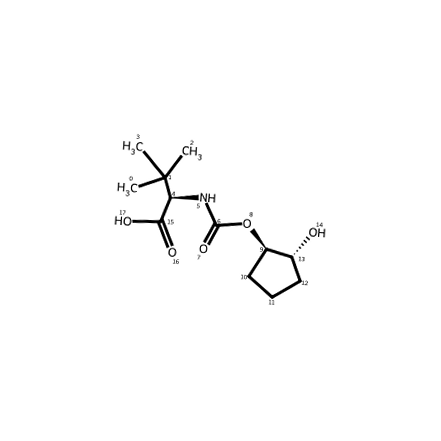 CC(C)(C)[C@@H](NC(=O)O[C@@H]1CCC[C@H]1O)C(=O)O